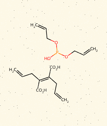 C=CC/C(C(=O)O)=C(/CC=C)C(=O)O.C=CCOP(O)OCC=C